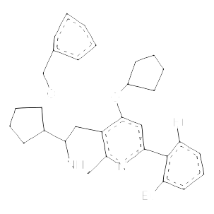 CCc1cccc(CC)c1-c1cc(OC2CCCC2)c(CC(N)C2CCC[C@@H]2OCc2ccccc2)c(C)n1